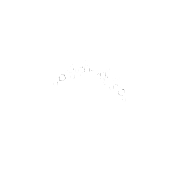 O=C(OCN1C(=O)CN(CCN2CC(=O)N(COC(=O)C(Cl)Oc3ccc(Cl)cc3)C(=O)C2)CC1=O)C(Cl)Oc1ccc(Cl)cc1